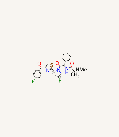 CN[C@@H](C)C(=O)N[C@H](C(=O)N1C[C@H](F)C[C@H]1c1nc(C(=O)c2ccc(F)cc2)cs1)C1CCCCC1